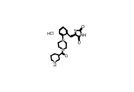 Cl.O=C1NC(=O)C(=Cc2ccccc2N2CCN(C(=O)C3CCCNC3)CC2)S1